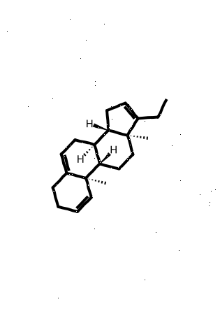 CCC1=CC[C@H]2[C@@H]3CC=C4CCC=C[C@]4(C)[C@H]3CC[C@]12C